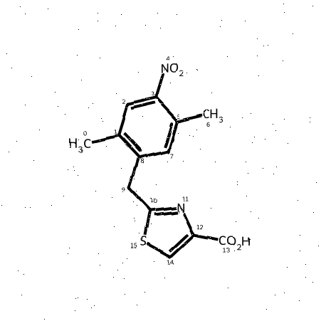 Cc1cc([N+](=O)[O-])c(C)cc1Cc1nc(C(=O)O)cs1